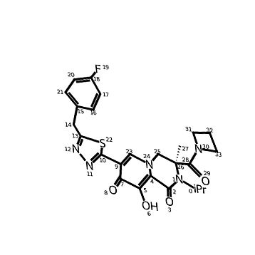 CC(C)N1C(=O)c2c(O)c(=O)c(-c3nnc(Cc4ccc(F)cc4)s3)cn2C[C@@]1(C)C(=O)N1CCC1